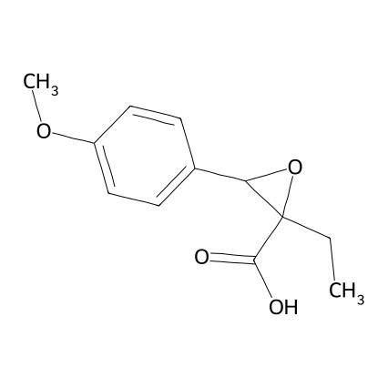 CCC1(C(=O)O)OC1c1ccc(OC)cc1